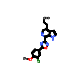 CC(C)Oc1ccc(-c2nc(-c3ncc(CCC=O)c4cc[nH]c34)no2)cc1Cl